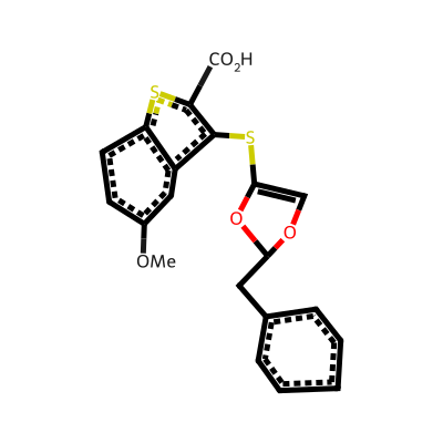 COc1ccc2sc(C(=O)O)c(SC3=COC(Cc4ccccc4)O3)c2c1